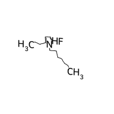 CCCCCCCn1cccc1CCC.F